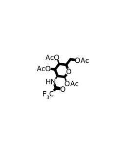 CC(=O)OCC1O[C@@H](OC(C)=O)[C@@H](NC(=O)C(F)(F)F)C(OC(C)=O)[C@H]1OC(C)=O